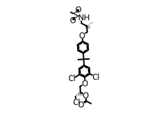 CC(=O)O[C@H](CCl)COc1c(Cl)cc(C(C)(C)c2ccc(OC[C@@H](C)CNS(C)(=O)=O)cc2)cc1Cl